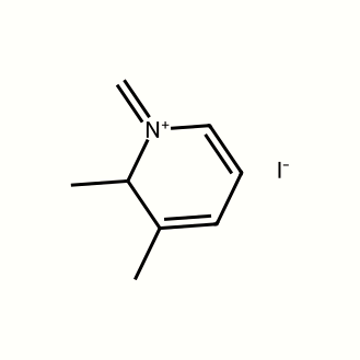 C=[N+]1C=CC=C(C)C1C.[I-]